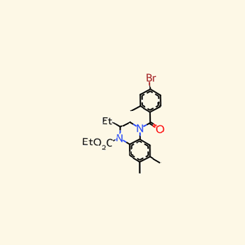 CCOC(=O)N1c2cc(C)c(C)cc2N(C(=O)c2ccc(Br)cc2C)CC1CC